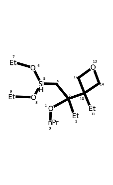 CCCOC(CC)(C[SiH](OCC)OCC)C1(CC)COC1